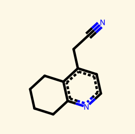 N#CCc1ccnc2c1CCCC2